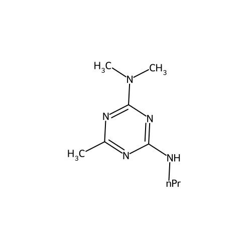 CCCNc1nc(C)nc(N(C)C)n1